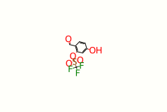 O=Cc1ccc(O)cc1OS(=O)(=O)C(F)(F)F